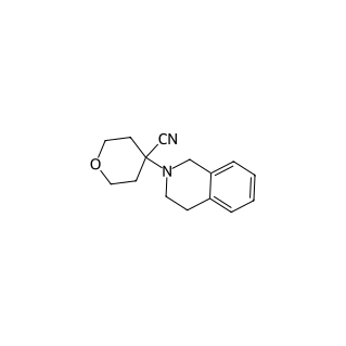 N#CC1(N2CCc3ccccc3C2)CCOCC1